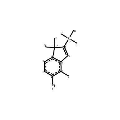 CCc1ccc2c(c1C)C=C([Si](C)(C)C)C2(C)C